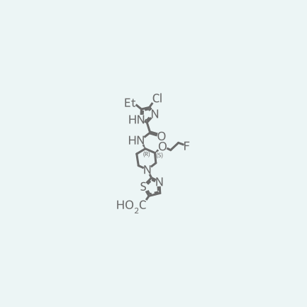 CCc1[nH]c(C(=O)N[C@@H]2CCN(c3ncc(C(=O)O)s3)C[C@@H]2OCCF)nc1Cl